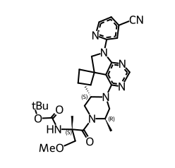 COC[C@](C)(NC(=O)OC(C)(C)C)C(=O)N1C[C@H](C)N(c2ncnc3c2C2(CCC2)CN3c2cc(C#N)ccn2)C[C@H]1C